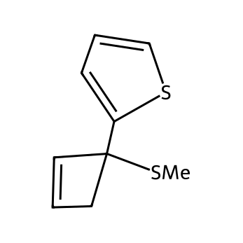 CSC1(c2cccs2)C=CC1